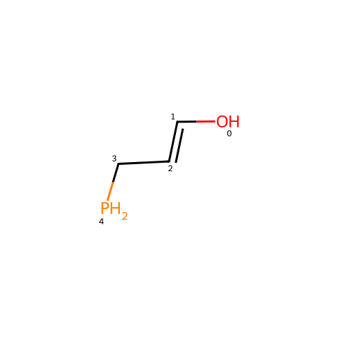 OC=CCP